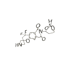 O=C1c2cc3c(cc2C(=O)N1C1CCONO1)C(F)(F)CC1(CNC1)O3